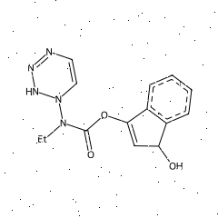 CCN(C(=O)OC1=CC(O)c2ccccc21)N1C=CN=NN1